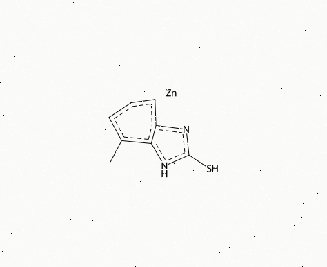 Cc1cccc2nc(S)[nH]c12.[Zn]